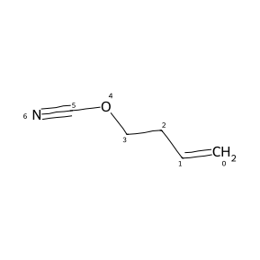 C=CCCOC#N